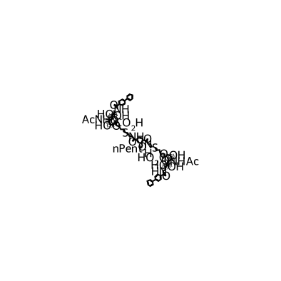 CCCCCOc1cc(C(=O)NCCSCCCO[C@]2(C(=O)O)C[C@H](O)[C@@H](NC(C)=O)[C@H]([C@H](O)[C@H](O)CNC(=O)c3ccc(-c4ccccc4)cc3)O2)ccc1C(=O)NCCSCCCO[C@]1(C(=O)O)C[C@H](O)[C@@H](NC(C)=O)[C@H]([C@H](O)[C@H](O)CNC(=O)c2ccc(-c3ccccc3)cc2)O1